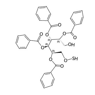 O=C(O[C@@H]([C@H](OC(=O)c1ccccc1)[C@@H](COS)OC(=O)c1ccccc1)[C@@H](CO)OC(=O)c1ccccc1)c1ccccc1